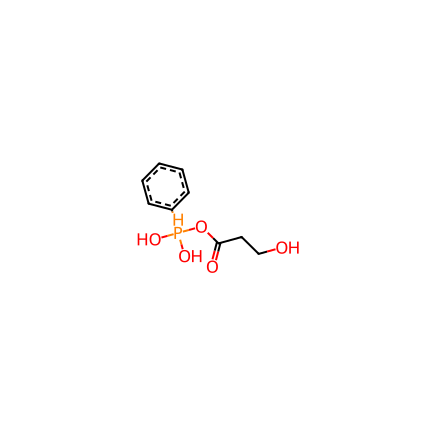 O=C(CCO)O[PH](O)(O)c1ccccc1